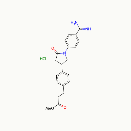 COC(=O)CCc1ccc(C2CC(=O)N(c3ccc(C(=N)N)cc3)C2)cc1.Cl